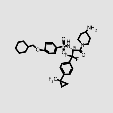 NC1CCN(C(=O)[C@@H](NS(=O)(=O)c2ccc(OCC3CCCCC3)cc2)C(F)(F)c2ccc(C3(C(F)(F)F)CC3)cc2)CC1